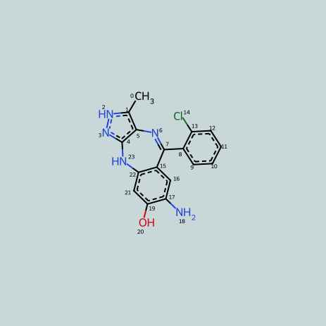 Cc1[nH]nc2c1N=C(c1ccccc1Cl)c1cc(N)c(O)cc1N2